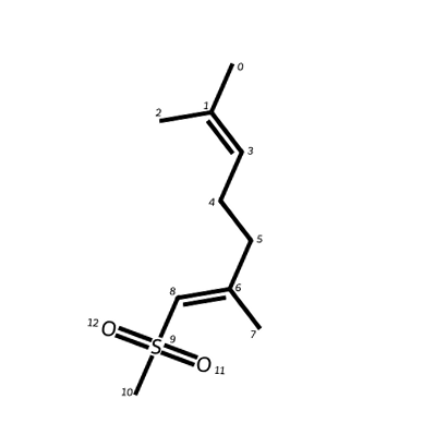 CC(C)=CCCC(C)=CS(C)(=O)=O